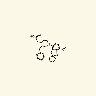 COc1ccc(N2CCN(CC(=O)O)C(Cc3ccccc3)C2)c2c1OC1(CCCC1)C2